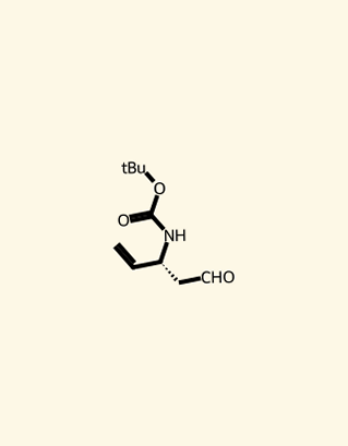 C=C[C@@H](CC=O)NC(=O)OC(C)(C)C